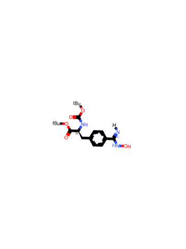 [H]/N=C(/NO)c1ccc(C[C@H](NC(=O)OC(C)(C)C)C(=O)OC(C)(C)C)cc1